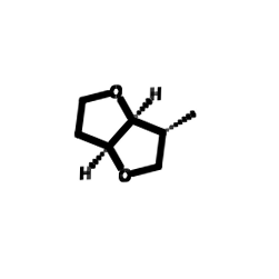 C[C@@H]1CO[C@H]2CCO[C@@H]12